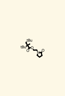 CC(C)(C)CC(C)(C(=O)OCCN1CCCC1=O)C(C)(C)C